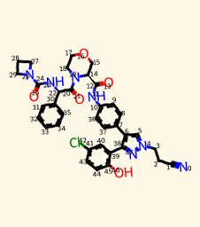 N#CCCn1cc(-c2ccc(NC(=O)[C@@H]3COCCN3C(=O)[C@H](NC(=O)N3CCC3)c3ccccc3)cc2)c(-c2cc(Cl)ccc2O)n1